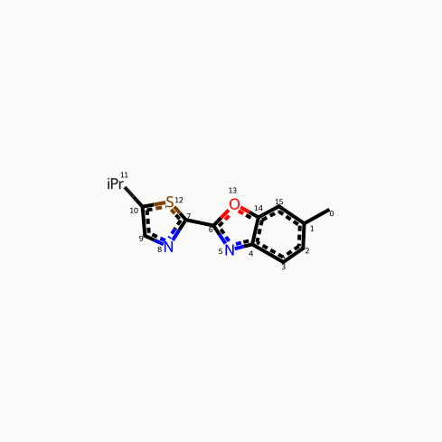 Cc1ccc2nc(-c3ncc(C(C)C)s3)oc2c1